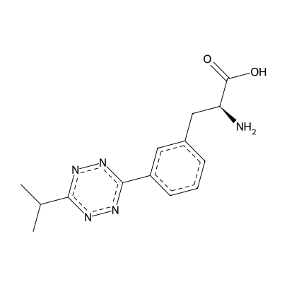 CC(C)c1nnc(-c2cccc(C[C@H](N)C(=O)O)c2)nn1